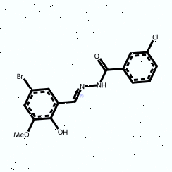 COc1cc(Br)cc(/C=N/NC(=O)c2cccc(Cl)c2)c1O